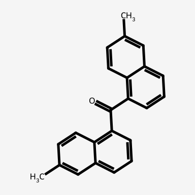 Cc1ccc2c(C(=O)c3cccc4cc(C)ccc34)cccc2c1